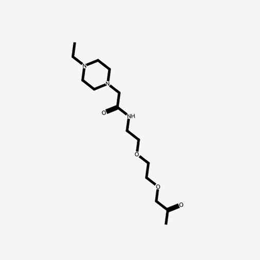 CCN1CCN(CC(=O)NCCOCCOCC(C)=O)CC1